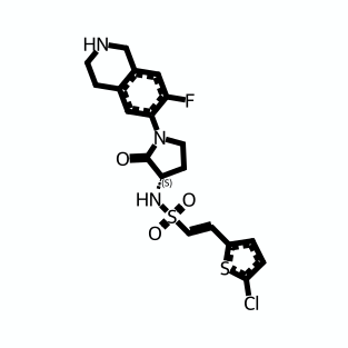 O=C1[C@@H](NS(=O)(=O)C=Cc2ccc(Cl)s2)CCN1c1cc2c(cc1F)CNCC2